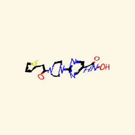 O=C(NO)c1cnc(N2CCN(C(=O)Cc3cccs3)CC2)nc1